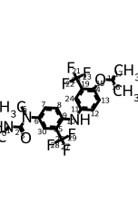 CNC(=O)N(C)c1ccc(Nc2ccc(OC(C)C)c(C(F)(F)F)c2)c(C(F)(F)F)c1